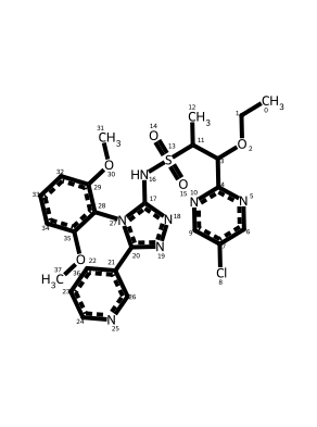 CCOC(c1ncc(Cl)cn1)C(C)S(=O)(=O)Nc1nnc(-c2cccnc2)n1-c1c(OC)cccc1OC